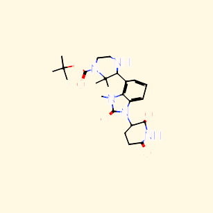 Cn1c(=O)n(C2CCC(=O)NC2=O)c2cccc(C3NCCN(C(=O)OC(C)(C)C)C3(C)C)c21